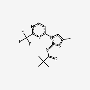 Cc1cn(-c2ccnc(C(F)(F)F)n2)c(=NC(=O)C(C)(C)C)s1